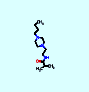 C=C(C)C(=O)NCCN1CCN(CCCC)CC1